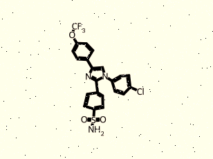 NS(=O)(=O)c1ccc(-c2nc(-c3ccc(OC(F)(F)F)cc3)cn2-c2ccc(Cl)cc2)cc1